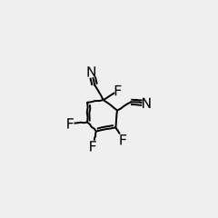 N#CC1C(F)=C(F)C(F)=CC1(F)C#N